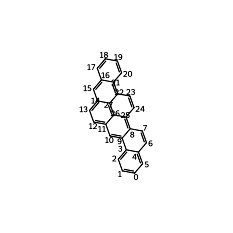 c1ccc2c(c1)ccc1c2cc2ccc3cc4ccccc4c4ccc1c2c34